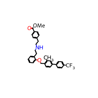 COC(=O)c1ccc(CCNCCc2ccccc2OCc2ccc(-c3ccc(C(F)(F)F)cc3)cc2C)cc1